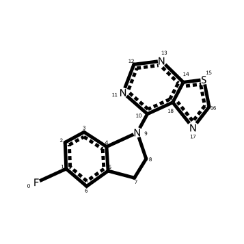 Fc1ccc2c(c1)CCN2c1ncnc2scnc12